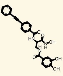 O=C(NCC(NC(=O)c1ccc(C#Cc2ccccc2)cc1)C(=O)NO)c1ccc(O)c(O)c1